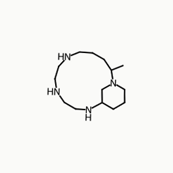 CC1CCCNCCNCCNC2CCCN1C2